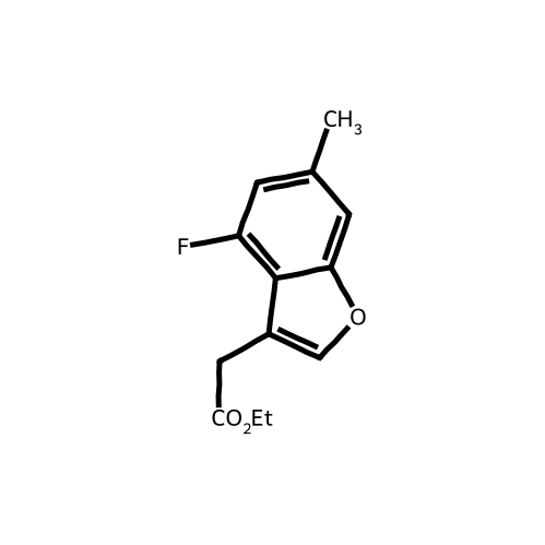 CCOC(=O)Cc1coc2cc(C)cc(F)c12